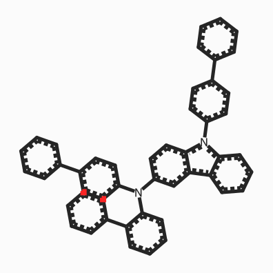 c1ccc(-c2ccc(N(c3ccc4c(c3)c3ccccc3n4-c3ccc(-c4ccccc4)cc3)c3ccccc3-c3ccccc3)cc2)cc1